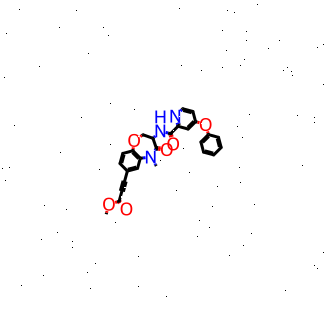 COC(=O)C#Cc1ccc2c(c1)N(C)C(=O)C(NC(=O)c1cc(Oc3ccccc3)ccn1)CO2